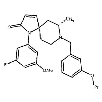 COc1cc(F)cc(N2C(=O)C=C[C@]23CCN(Cc2cccc(OC(C)C)c2)[C@@H](C)C3)c1